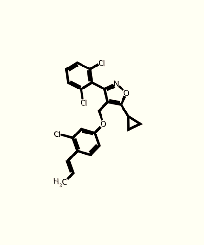 C/C=C/c1ccc(OCc2c(-c3c(Cl)cccc3Cl)noc2C2CC2)cc1Cl